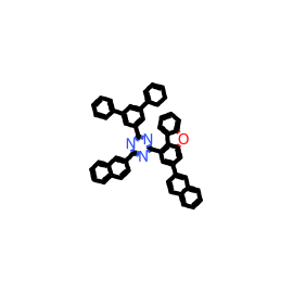 C1=CCCC(c2cc(-c3ccccc3)cc(-c3nc(-c4ccc5ccccc5c4)nc(-c4cc(-c5ccc6ccccc6c5)cc5oc6ccccc6c45)n3)c2)=C1